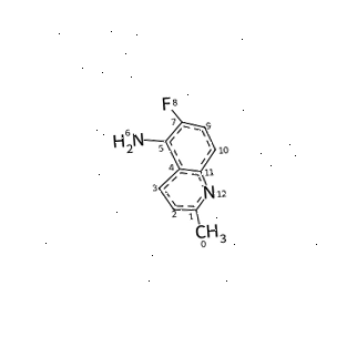 Cc1ccc2c(N)c(F)ccc2n1